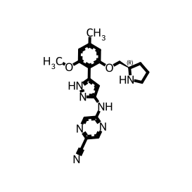 COc1cc(C)cc(OC[C@H]2CCCN2)c1-c1cc(Nc2cnc(C#N)cn2)n[nH]1